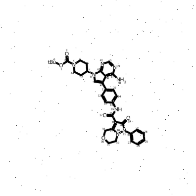 CC(C)(C)OC(=O)N1CCC(n2cc(-c3ccc(NC(=O)c4c5n(n(-c6ccccc6)c4=O)CCOC5)cc3)c3c(N)ncnc32)CC1